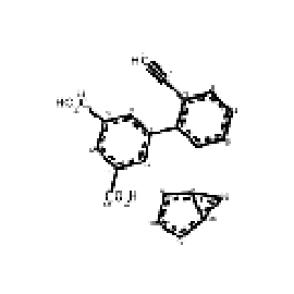 C#Cc1ccccc1-c1cc(C(=O)O)cc(C(=O)O)c1.c1cc2cc-2c1